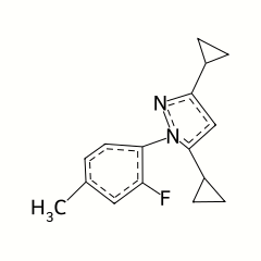 Cc1ccc(-n2nc(C3CC3)cc2C2CC2)c(F)c1